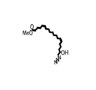 COC(=O)CCC/C=C\CCCCCCC/C=C\CCC[C@@H](O)CN=[N+]=[N-]